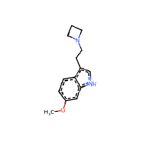 COc1ccc2c(CCN3CCC3)c[nH]c2c1